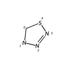 C1[N]N=NS1